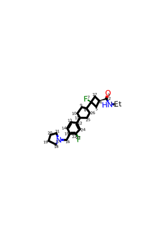 CCNC(=O)[C@H]1C[C@](F)(C2CCC(c3ccc(CN4CCCC4)c(F)c3)CC2)C1